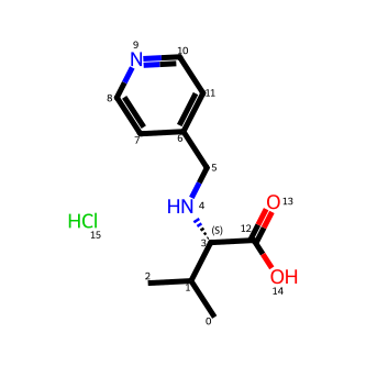 CC(C)[C@H](NCc1ccncc1)C(=O)O.Cl